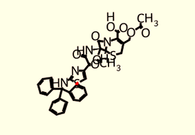 CO[C@]1(NC(=O)C(=O)c2csc(NC(c3ccccc3)(c3ccccc3)c3ccccc3)n2)C(=O)N2C(C(=O)O)=C(COC(C)=O)CS[C@@H]21